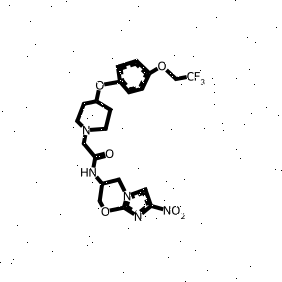 O=C(CN1CCC(Oc2ccc(OCC(F)(F)F)cc2)CC1)NC1COc2nc([N+](=O)[O-])cn2C1